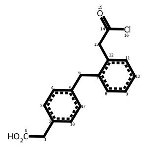 O=C(O)Cc1ccc(Cc2ccccc2CC(=O)Cl)cc1